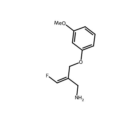 COc1cccc(OC/C(=C\F)CN)c1